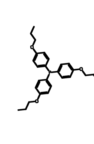 CCCOc1ccc(P(c2ccc(OCCC)cc2)c2ccc(OCCC)cc2)cc1